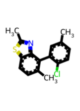 Cc1ccc(Cl)c(-c2c(C)ccc3sc(C)nc23)c1